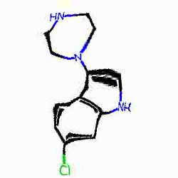 Clc1ccc2c(N3CCNCC3)c[nH]c2c1